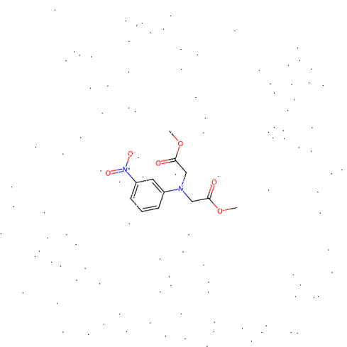 COC(=O)CN(CC(=O)OC)c1cccc([N+](=O)[O-])c1